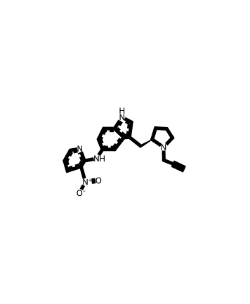 C#CCN1CCC[C@@H]1Cc1c[nH]c2ccc(Nc3ncccc3[N+](=O)[O-])cc12